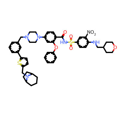 O=C(NS(=O)(=O)c1ccc(NCC2CCOCC2)c([N+](=O)[O-])c1)c1ccc(N2CCN(Cc3cccc(-c4ccc(CN5C6CCCC5CC6)s4)c3)CC2)cc1Oc1ccccc1